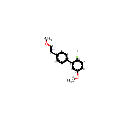 CO/C=C/c1ccc(-c2cc(OC)ccc2F)cc1